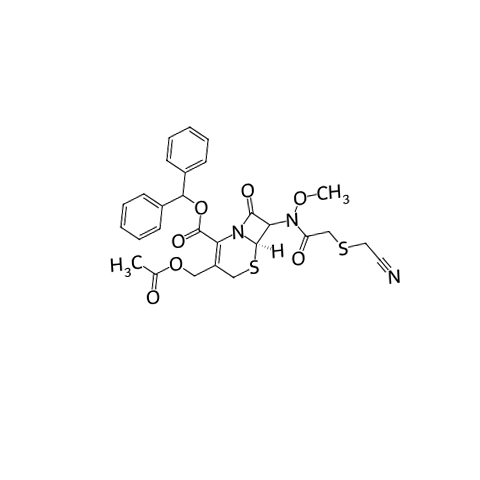 CON(C(=O)CSCC#N)C1C(=O)N2C(C(=O)OC(c3ccccc3)c3ccccc3)=C(COC(C)=O)CS[C@H]12